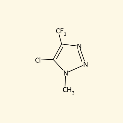 Cn1nnc(C(F)(F)F)c1Cl